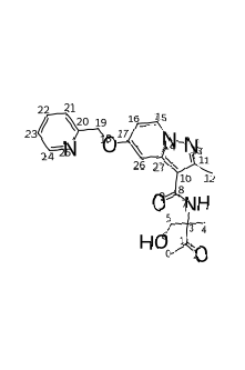 CC(=O)C(C)(CO)NC(=O)c1c(C)nn2ccc(OCc3ccccn3)cc12